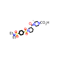 CCN(CC)S(=O)(=O)c1ccc(S(=O)(=O)N2CCC[C@@H](C(=O)N3CCN(C(=O)O)C[C@H]3C)C2)cc1